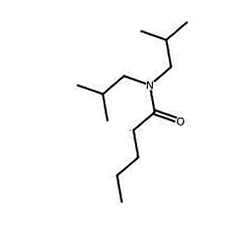 CCC[CH]C(=O)N(CC(C)C)CC(C)C